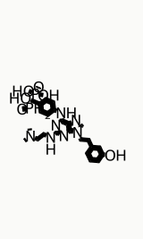 CN(C)CCNc1nc(Nc2ccc(C(O)([PH2]=O)P(=O)(O)O)cc2)c2ncn(CCc3cccc(O)c3)c2n1